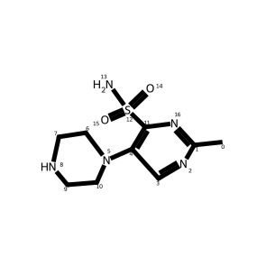 Cc1ncc(N2CCNCC2)c(S(N)(=O)=O)n1